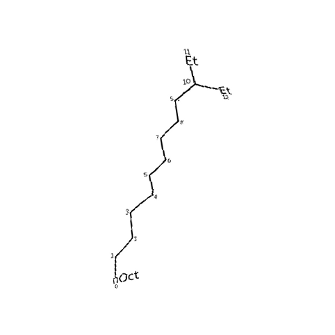 CCCCCCCCCCCCCCCC[CH]C(CC)CC